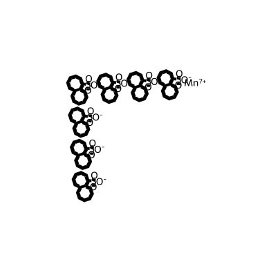 O=S(=O)([O-])c1cccccc2ccccccc1-2.O=S(=O)([O-])c1cccccc2ccccccc1-2.O=S(=O)([O-])c1cccccc2ccccccc1-2.O=S(=O)([O-])c1cccccc2ccccccc1-2.O=S(=O)([O-])c1cccccc2ccccccc1-2.O=S(=O)([O-])c1cccccc2ccccccc1-2.O=S(=O)([O-])c1cccccc2ccccccc1-2.[Mn+7]